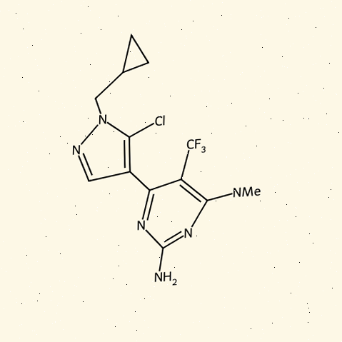 CNc1nc(N)nc(-c2cnn(CC3CC3)c2Cl)c1C(F)(F)F